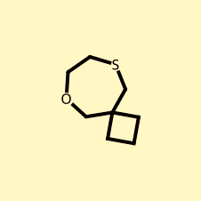 C1CC2(C1)COCCSC2